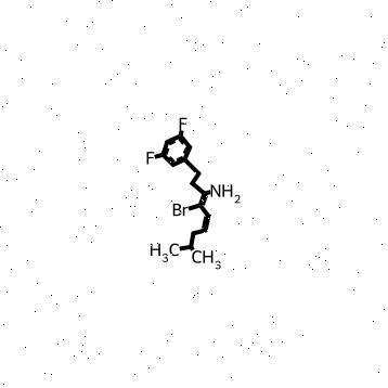 CC(C)C/C=C\C(Br)=C(/N)CCc1cc(F)cc(F)c1